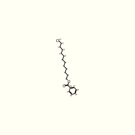 O=C(OCCCCCCCCCCCCCl)c1ccccc1